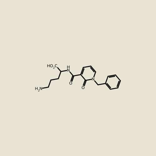 NCCCC(NC(=O)c1cccn(Cc2ccccc2)c1=O)C(=O)O